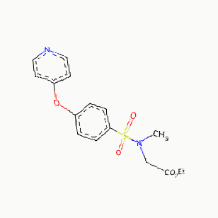 CCOC(=O)CN(C)S(=O)(=O)c1ccc(Oc2ccncc2)cc1